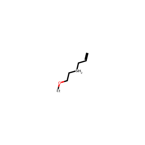 C=CC[SiH2]CCOCC